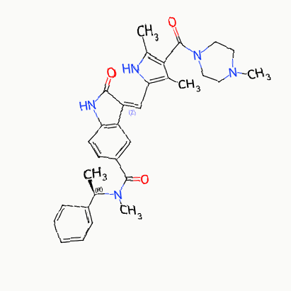 Cc1[nH]c(/C=C2\C(=O)Nc3ccc(C(=O)N(C)[C@H](C)c4ccccc4)cc32)c(C)c1C(=O)N1CCN(C)CC1